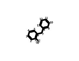 Fc1ccc[c]c1Cc1ccccc1